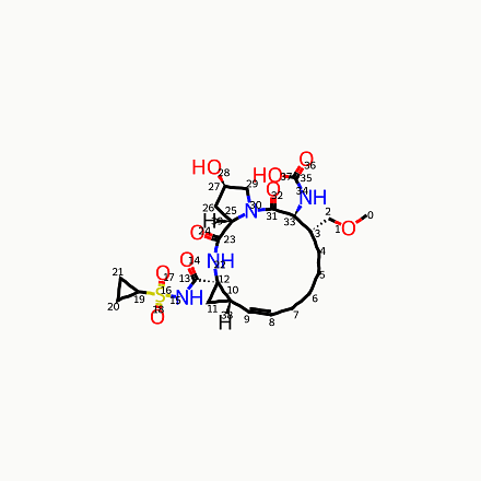 COC[C@@H]1CCCCC=C[C@@H]2C[C@@]2(C(=O)NS(=O)(=O)C2CC2)NC(=O)[C@@H]2C[C@@H](O)CN2C(=O)[C@H]1NC(=O)O